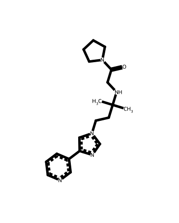 CC(C)(CCn1cnc(-c2cccnc2)c1)NCC(=O)N1CCCC1